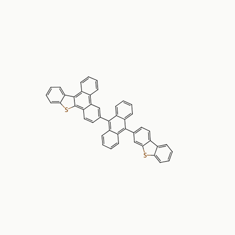 c1ccc2c(c1)sc1cc(-c3c4ccccc4c(-c4ccc5c(c4)c4ccccc4c4c6ccccc6sc54)c4ccccc34)ccc12